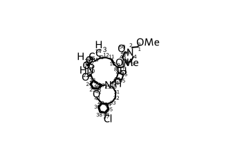 COCCN1CCN(C[C@@]2(OC)/C=C/C[C@H](C)[C@@H](C)S(=O)(=O)NC(=O)c3ccc4c(c3)N(CCCCc3cc(Cl)ccc3CO4)C[C@@H]3CC[C@H]32)CC1=O